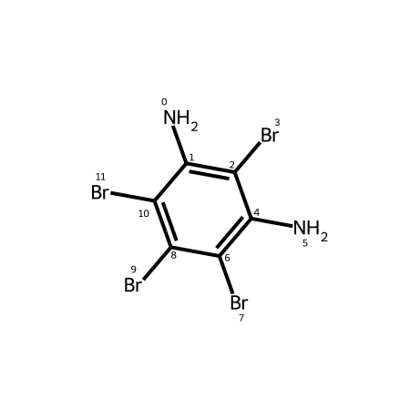 Nc1c(Br)c(N)c(Br)c(Br)c1Br